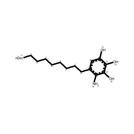 CCCCCCCCCCCCCCCCCCc1cc(O)c(O)c(O)c1N